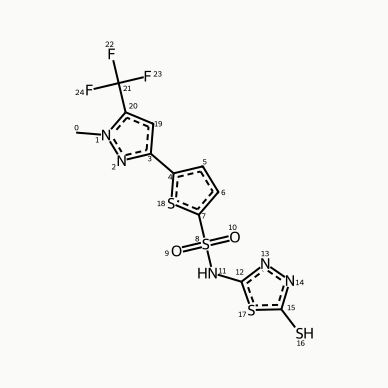 Cn1nc(-c2ccc(S(=O)(=O)Nc3nnc(S)s3)s2)cc1C(F)(F)F